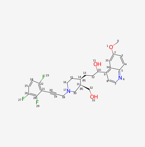 COc1ccc2nccc(C(O)CC[C@@H]3CCN(CC#Cc4c(F)ccc(F)c4F)C[C@@H]3CO)c2c1